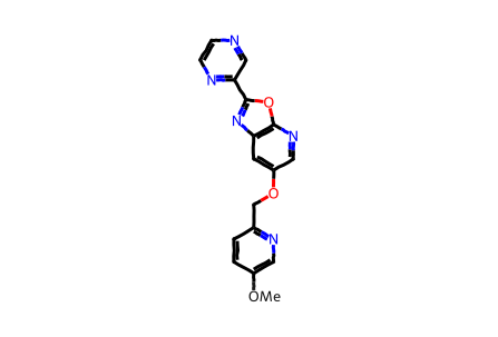 COc1ccc(COc2cnc3oc(-c4cnccn4)nc3c2)nc1